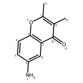 Cc1oc2ccc(N)cc2c(=O)c1C